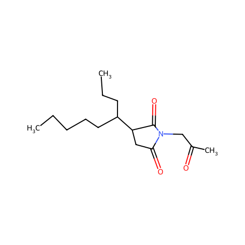 CCCCCC(CCC)C1CC(=O)N(CC(C)=O)C1=O